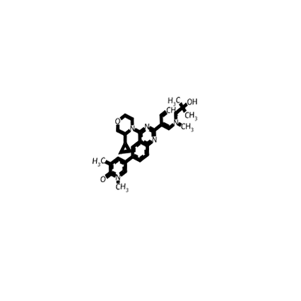 C=C/C(=C\N(C)CC(C)(C)O)c1nc(N2CCOCC2C2CC2)c2cc(-c3cc(C)c(=O)n(C)c3)ccc2n1